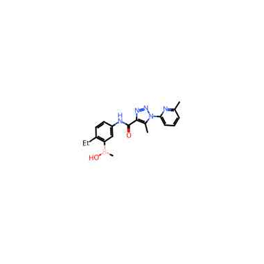 CCc1ccc(NC(=O)c2nnn(-c3cccc(C)n3)c2C)cc1B(C)O